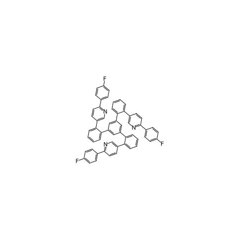 Fc1ccc(-c2ccc(-c3ccccc3-c3cc(-c4ccccc4-c4ccc(-c5ccc(F)cc5)nc4)cc(-c4ccccc4-c4ccc(-c5ccc(F)cc5)nc4)c3)cn2)cc1